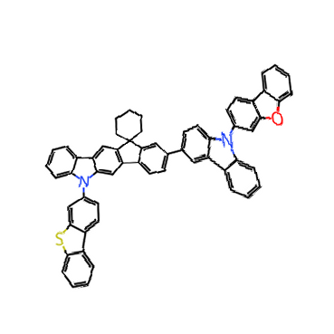 c1ccc2c(c1)oc1cc(-n3c4ccccc4c4cc(-c5ccc6c(c5)C5(CCCCC5)c5cc7c8ccccc8n(-c8ccc9c(c8)sc8ccccc89)c7cc5-6)ccc43)ccc12